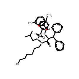 CC(C)CN(N(CCCCCCO)C(=O)C(NC(=O)c1cccc(O)c1)C(c1ccccc1)c1ccccc1)S(=O)(=O)c1ccc(N)cc1